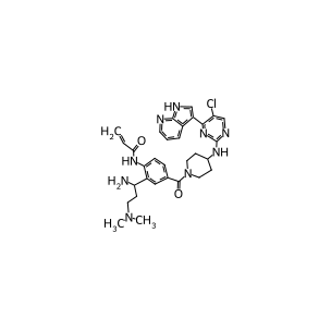 C=CC(=O)Nc1ccc(C(=O)N2CCC(Nc3ncc(Cl)c(-c4c[nH]c5ncccc45)n3)CC2)cc1C(N)CCN(C)C